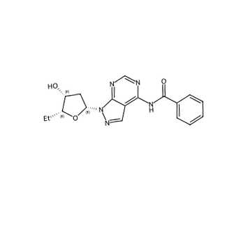 CC[C@H]1O[C@@H](n2ncc3c(NC(=O)c4ccccc4)ncnc32)C[C@H]1O